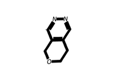 [c]1nncc2c1COCC2